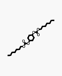 CCCCCCCOC(=O)OC1CCC(OC(=O)OCCCCCCC)CC1